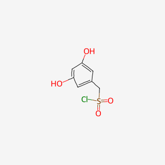 O=S(=O)(Cl)Cc1cc(O)cc(O)c1